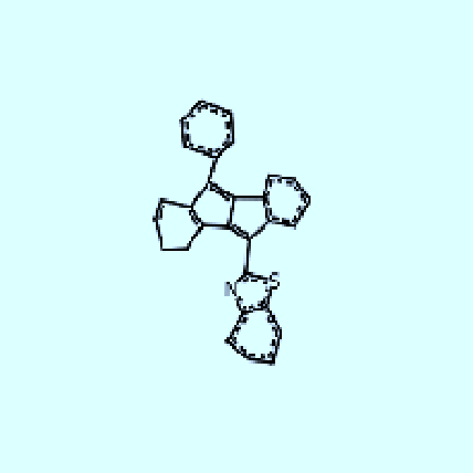 C1=CC2=C(CC1)C1=C(c3nc4ccccc4s3)c3ccccc3C1=C2c1ccccc1